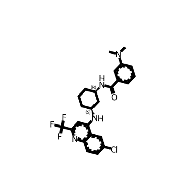 CN(C)c1cccc(C(=O)N[C@@H]2CCC[C@H](Nc3cc(C(F)(F)F)nc4ccc(Cl)cc34)C2)c1